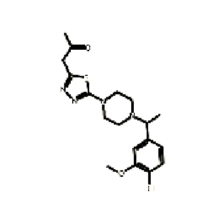 COc1cc(C(C)N2CCN(c3nnc(CC(C)=O)s3)CC2)ccc1Cl